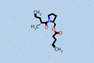 C=CCCC(=O)OC[C@@H]1CCCN1C(=O)[C@H](C)CC=C